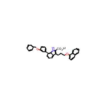 O=C(O)c1[nH]c2c(-c3cccc(OCc4ccccc4)c3)cccc2c1CCCOc1cccc2ccccc12